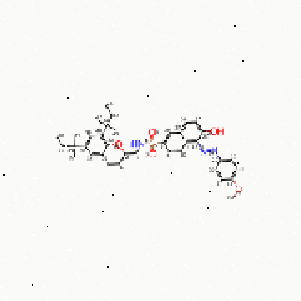 CCC(CNS(=O)(=O)c1ccc2c(N=Nc3ccc(OC)cc3)c(O)ccc2c1)Oc1ccc(C(C)(C)CC)cc1C(C)(C)CC